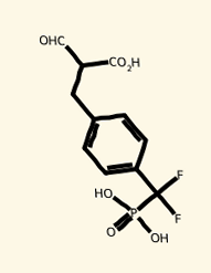 O=CC(Cc1ccc(C(F)(F)P(=O)(O)O)cc1)C(=O)O